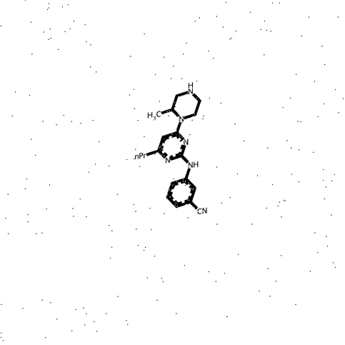 CCCc1cc(N2CCNCC2C)nc(Nc2cccc(C#N)c2)n1